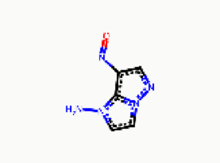 Nn1ccn2ncc(N=O)c12